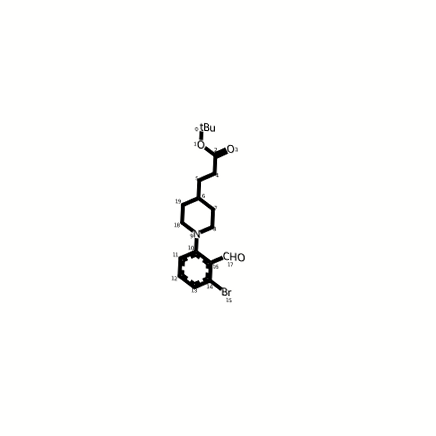 CC(C)(C)OC(=O)CCC1CCN(c2cccc(Br)c2C=O)CC1